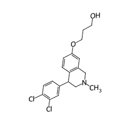 CN1Cc2cc(OCCCO)ccc2C(c2ccc(Cl)c(Cl)c2)C1